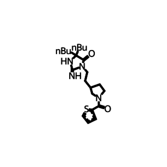 CCCCC1(CCCC)NC(=N)N(CCC2CCN(C(=O)c3cccs3)C2)C1=O